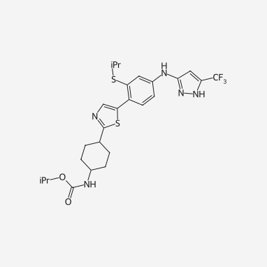 CC(C)OC(=O)NC1CCC(c2ncc(-c3ccc(Nc4cc(C(F)(F)F)[nH]n4)cc3SC(C)C)s2)CC1